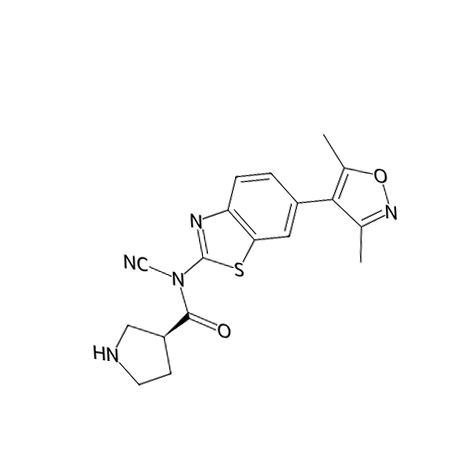 Cc1noc(C)c1-c1ccc2nc(N(C#N)C(=O)[C@H]3CCNC3)sc2c1